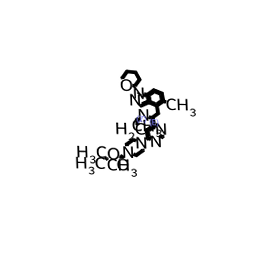 C=c1c(N2CCN(C(=O)OC(C)(C)C)CC2)ncn/c1=C(Cc1c(C)ccc2c1cnn2C1CCCCO1)/N=C\C